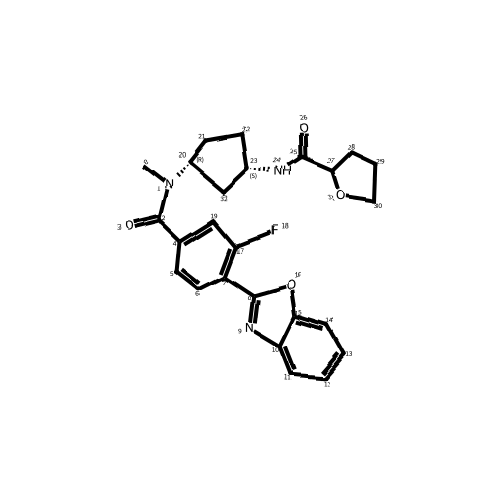 CN(C(=O)c1ccc(-c2nc3ccccc3o2)c(F)c1)[C@@H]1CC[C@H](NC(=O)C2CCCO2)C1